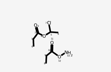 CCC(=O)OC(C)Cl.CCC(=O)ON